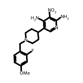 COc1ccc(CN2CCC(c3cnc(N)c([N+](=O)[O-])c3N)CC2)c(F)c1